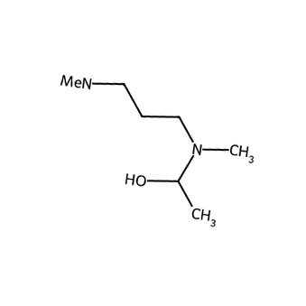 CNCCCN(C)C(C)O